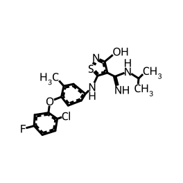 Cc1cc(Nc2snc(O)c2C(=N)NC(C)C)ccc1Oc1cc(F)ccc1Cl